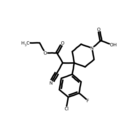 CCOC(=O)C(C#N)C1(c2ccc(Cl)c(F)c2)CCN(C(=O)O)CC1